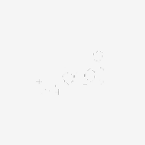 Cc1cc(OCP(=O)(O)O)cc(C)c1Cc1ccc(O)c(C(=O)c2ccccc2)c1